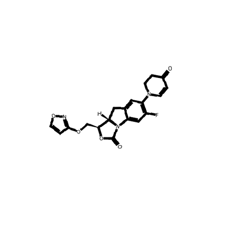 O=C1C=CN(c2cc3c(cc2F)N2C(=O)O[C@@H](COc4ccon4)[C@@H]2C3)CC1